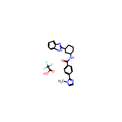 Cn1ccnc1-c1ccc(C(=O)NC2CCCC(c3nc4ccccc4[nH]3)C2)cc1.O=C(O)C(F)(F)F